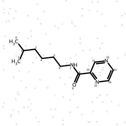 CC(C)CCCCNC(=O)c1cnccn1